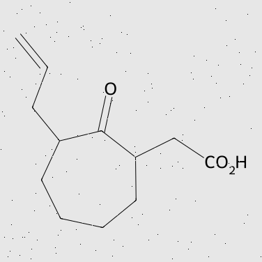 C=CCC1CCCCC(CC(=O)O)C1=O